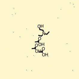 CC(=O)O.CC(=O)O.CC(=O)O.CCN(CC)CCO